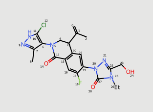 C=C(C)C1CN(c2c(C)n[nH]c2Cl)C(=O)c2cc(F)c(-n3nc(CO)n(CC)c3=O)cc21